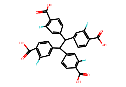 O=C(O)c1ccc(C(c2ccc(C(=O)O)c(F)c2)C(c2ccc(C(=O)O)c(F)c2)c2ccc(C(=O)O)c(F)c2)cc1F